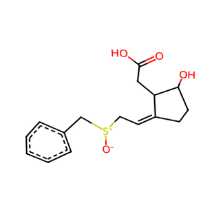 O=C(O)CC1C(=CC[S+]([O-])Cc2ccccc2)CCC1O